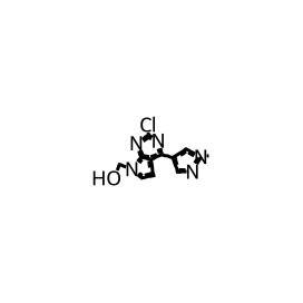 Cn1cc(-c2nc(Cl)nc3c2ccn3CO)cn1